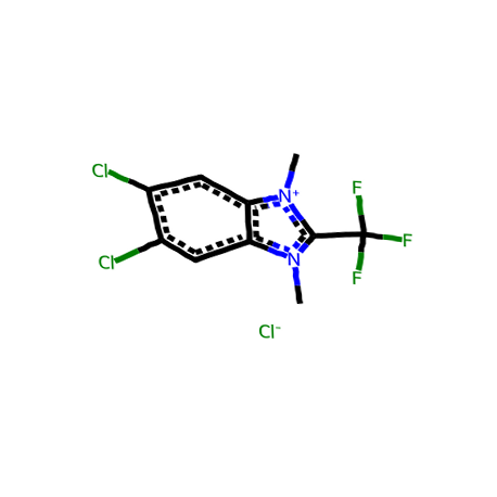 Cn1c(C(F)(F)F)[n+](C)c2cc(Cl)c(Cl)cc21.[Cl-]